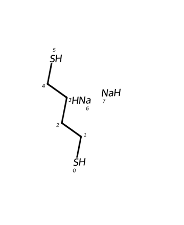 SCCCCS.[NaH].[NaH]